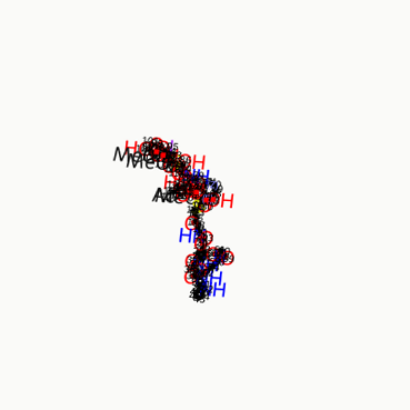 COC(=O)CC1=C2/C(=C\CSSC(C)(C)CCC(=O)CCCNC(=O)OCc3ccc(NC(=O)[C@H](C)CC(=O)[C@H](Cc4c[nH]c5ccccc45)NC(=O)CCCCCN4C(=O)C=CC4=O)cc3)[C@](O)(C#C/C=C\C#C[C@@H]2OC2OC(C)C(NOC3CC(O)C(SC(=O)c4c(C)c(I)c(OC5OC(C)C(O)C(OC)C5O)c(C)c4OC)C(C)O3)C(O)C2OC2CC(C)C(CC(C)=O)CO2)CC1=O